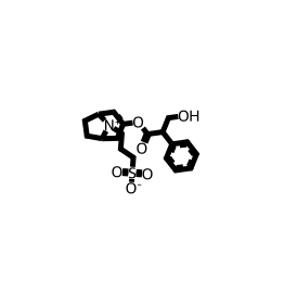 C[N+]1(CCCS(=O)(=O)[O-])C2CCC1CC(OC(=O)C(CO)c1ccccc1)C2